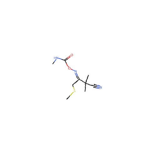 CNC(=O)ON=C(CSC)C(C)(C)C#N